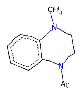 CC(=O)N1CCN(C)c2ccccc21